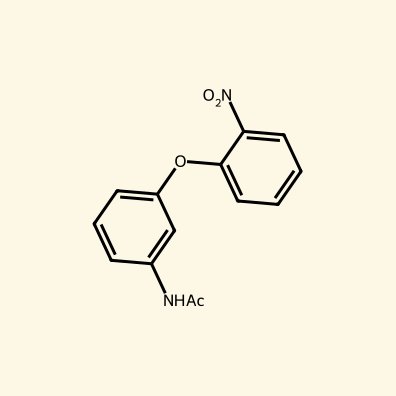 CC(=O)Nc1cccc(Oc2ccccc2[N+](=O)[O-])c1